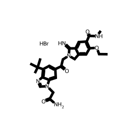 Br.CCOc1cc2c(cc1C(=O)NC)C(=N)N(CC(=O)c1cc(C(C)(C)C)c3ncn(CC(N)=O)c3c1)C2